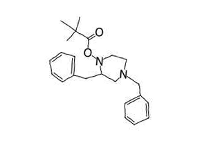 CC(C)(C)C(=O)ON1CCN(Cc2ccccc2)CC1Cc1ccccc1